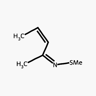 C/C=C\C(C)=N/SC